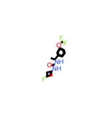 CC(NC(=O)NC12CC(F)(C1)C2)c1cccc(OC(F)F)c1